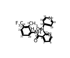 Cc1c(NC(=O)c2cccnc2N(C)c2ccncc2)cccc1C(F)(F)F